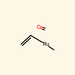 C=O.C=[CH][Ru][CH3]